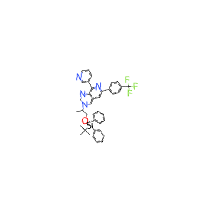 CC(CO[Si](c1ccccc1)(c1ccccc1)C(C)(C)C)N1C=c2cc(-c3ccc(C(F)(F)F)cc3)nc(-c3cccnc3)c2=NC1